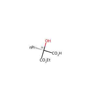 CCC[C@](O)(C(=O)O)C(=O)OCC